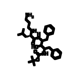 CC(C)C[C@H](NCCCN)C(=O)NC(Cc1ccccc1)C(O)C(Cc1ccccc1)NC(=O)OC(C)(C)C